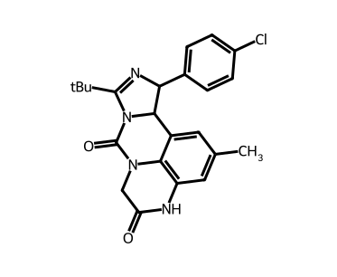 Cc1cc2c3c(c1)C1C(c4ccc(Cl)cc4)N=C(C(C)(C)C)N1C(=O)N3CC(=O)N2